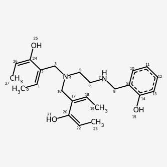 C/C=C(CN(CCNCc1ccccc1O)CC(=C/C)/C(O)=C\C)\C(O)=C/C